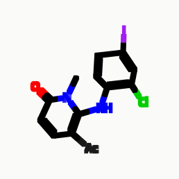 CC(=O)c1ccc(=O)n(C)c1Nc1ccc(I)cc1Cl